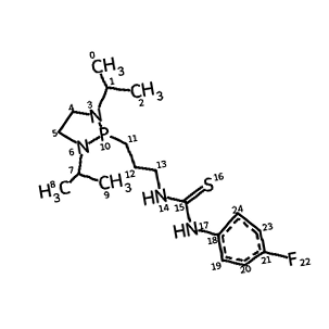 CC(C)N1CCN(C(C)C)P1CCCNC(=S)Nc1ccc(F)cc1